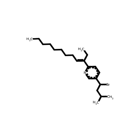 CCCCCCCCC=C(CC)c1ccc(C(Br)CC(C)C)cn1